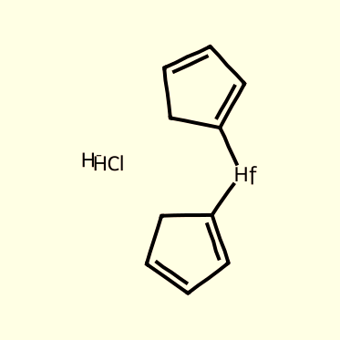 C1=CC[C]([Hf][C]2=CC=CC2)=C1.Cl.[H-]